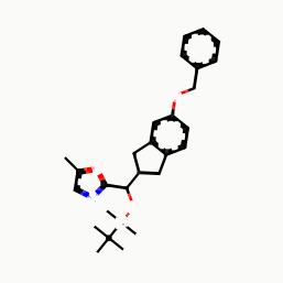 Cc1cnc(C(O[Si](C)(C)C(C)(C)C)C2Cc3ccc(OCc4ccccc4)cc3C2)o1